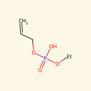 C=CCOP(=O)(O)OCC